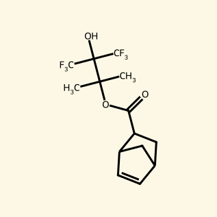 CC(C)(OC(=O)C1CC2C=CC1C2)C(O)(C(F)(F)F)C(F)(F)F